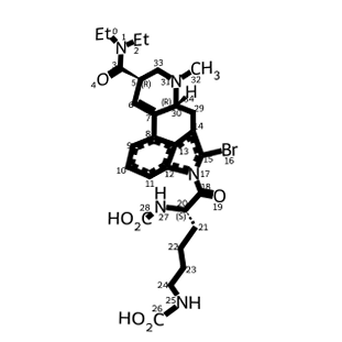 CCN(CC)C(=O)[C@@H]1C=C2c3cccc4c3c(c(Br)n4C(=O)[C@H](CCCCNC(=O)O)NC(=O)O)C[C@H]2N(C)C1